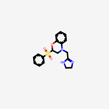 O=S(=O)(c1ccccc1)C1CN(CC2=NCCN2)c2ccccc2O1